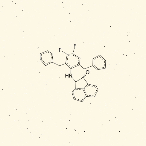 O=C1c2cccc3cccc(c23)C1Nc1c(Cc2ccccc2)cc(F)c(F)c1Cc1ccccc1